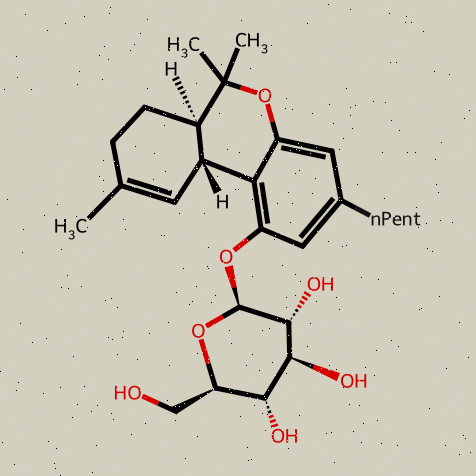 CCCCCc1cc(O[C@@H]2O[C@H](CO)[C@@H](O)[C@H](O)[C@H]2O)c2c(c1)OC(C)(C)[C@@H]1CCC(C)=C[C@@H]21